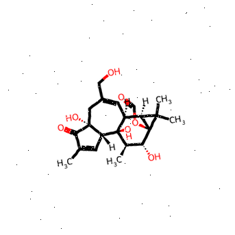 CC1=C[C@H]2[C@@]3(O)[C@H](C)[C@@H](O)[C@]4(OC=O)[C@@H]([C@@H]3C=C(CO)C[C@]2(O)C1=O)C4(C)C